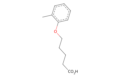 Cc1ccccc1OCCCCC(=O)O